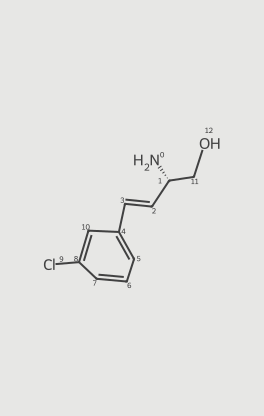 N[C@@H](C=Cc1cccc(Cl)c1)CO